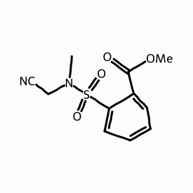 COC(=O)c1ccccc1S(=O)(=O)N(C)CC#N